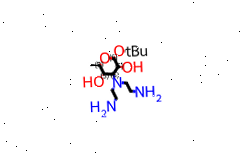 C[C@H]1O[C@@H](OC(C)(C)C)[C@@H](O)[C@@H](N(CCN)CCN)[C@@H]1O